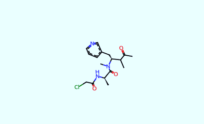 CC(=O)C(C)[C@H](Cc1cccnc1)N(C)C(=O)[C@@H](C)NC(=O)CCl